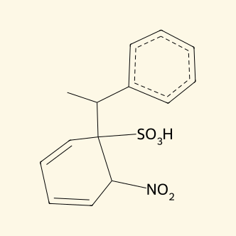 CC(c1ccccc1)C1(S(=O)(=O)O)C=CC=CC1[N+](=O)[O-]